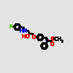 COC(=O)/C(=C/c1ccc(OCC(O)CNCc2ccc(F)cc2)cc1)c1ccccc1